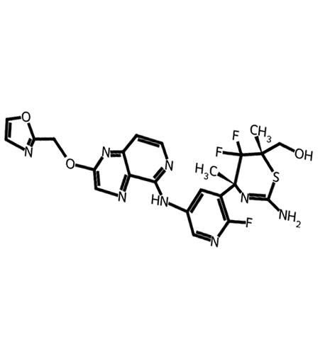 C[C@@]1(CO)SC(N)=N[C@](C)(c2cc(Nc3nccc4nc(OCc5ncco5)cnc34)cnc2F)C1(F)F